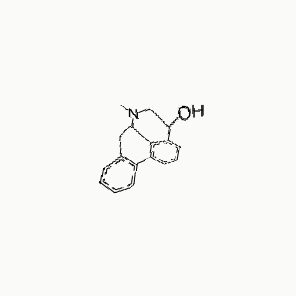 CN1CC(O)c2cccc3c2C1Cc1ccccc1-3